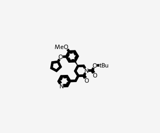 COc1ccc([C@@H]2CC(Cc3cccnc3)C(=O)N(C(=O)OC(C)(C)C)C2)cc1OC1CCCC1